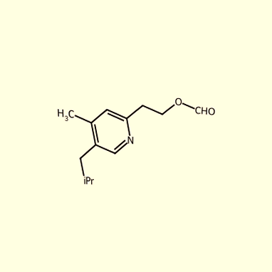 Cc1cc(CCOC=O)ncc1CC(C)C